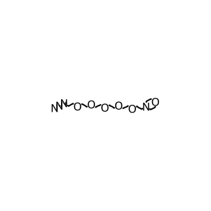 [N-]=[N+]=NCCOCCOCCOCCOCCOCCN1CCOCC1